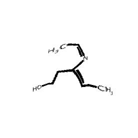 C/C=N\C(=C/C)CCO